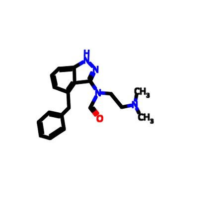 CN(C)CCN(C=O)c1n[nH]c2cccc(Cc3ccccc3)c12